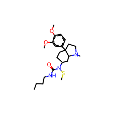 CCCCNC(=O)N(SC)C1CCC2(c3ccc(OC)c(OC)c3)CCN(C)C2C1